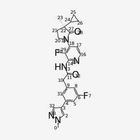 Cn1cc(-c2cc(F)cc(CC(=O)Nc3nccc(N4CC[C@@](C)(C5CC5)C4=O)c3F)c2)cn1